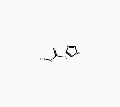 CC(=O)[O][SnH].c1c[nH]cn1